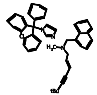 CN(C/C=C/C#CC(C)(C)C)Cc1cccc2ccccc12.Clc1ccccc1C(c1ccccc1)(c1ccccc1)n1ccnc1